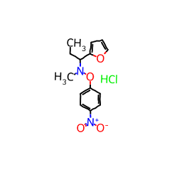 CCC(c1ccco1)N(C)Oc1ccc([N+](=O)[O-])cc1.Cl